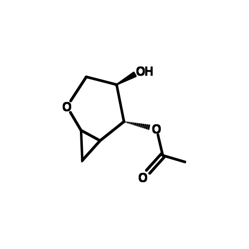 CC(=O)O[C@@H]1C2CC2OC[C@H]1O